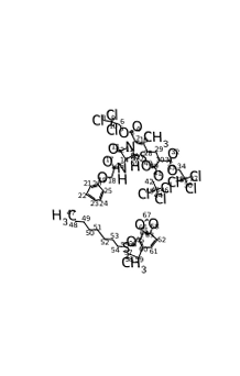 CC1=C(C(=O)OCC(Cl)(Cl)Cl)N2C(=O)C(NC(=O)COc3ccccc3)[C@H]2SC1CC(C(=O)OCC(Cl)(Cl)Cl)C(=O)OCC(Cl)(Cl)Cl.CCCCCCCC[S+]([O-])C(C)Cc1ccc2c(c1)OCO2